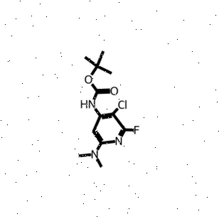 CN(C)c1cc(NC(=O)OC(C)(C)C)c(Cl)c(F)n1